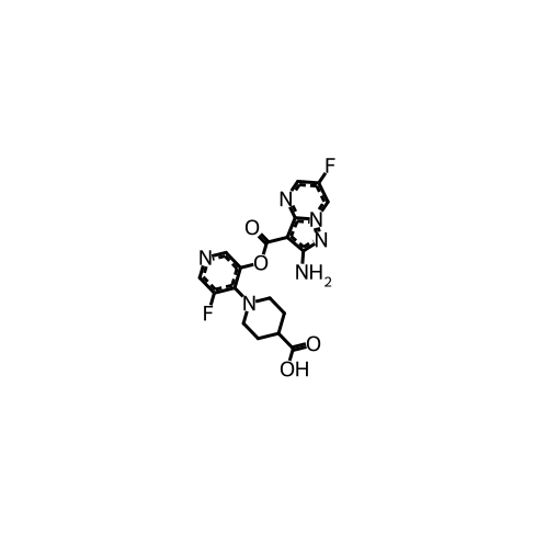 Nc1nn2cc(F)cnc2c1C(=O)Oc1cncc(F)c1N1CCC(C(=O)O)CC1